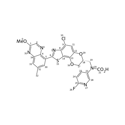 COc1cnc2c(-c3nc4c(Cl)cc5c(c4s3)OC[C@@H](CN(C(=O)O)c3ccc(F)nc3)O5)cc(C)cc2n1